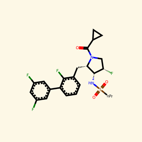 CCCS(=O)(=O)N[C@H]1[C@@H](F)CN(C(=O)C2CC2)[C@H]1Cc1cccc(-c2cc(F)cc(F)c2)c1F